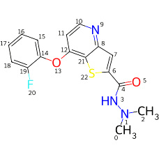 CN(C)NC(=O)c1cc2nccc(Oc3cc[c]cc3F)c2s1